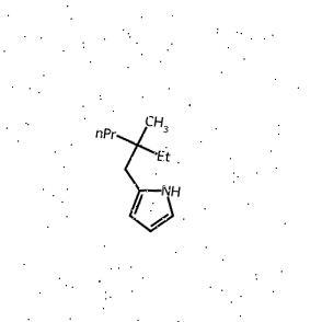 CCCC(C)(CC)Cc1ccc[nH]1